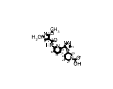 COc1nn(C)cc1C(=O)Nc1cccc(-c2nncn2[C@@H]2CCCN(C(=O)O)C2)n1